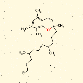 Cc1[c]c(C)c2c(c1C)OC(C)(CCCC(C)CCCC(C)CCCC(C)C)CC2